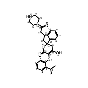 CC(C)c1ccccc1SC1=C(O)CC(CCCC(=O)N2CCNCC2)(c2ccccc2)OC1=O